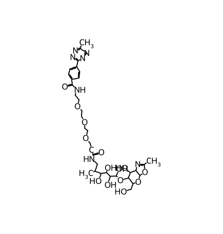 CC1=NC2C(O1)OC(CO)C(OC(O)C(O)C(O)C(O)C(C)CNC(=O)CCOCCOCCOCCNC(=O)c1ccc(-c3nnc(C)nn3)cc1)C2O